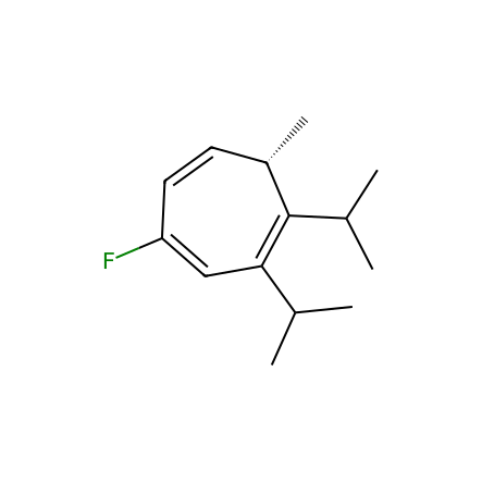 CC(C)C1=C(C(C)C)[C@@H](C)C=CC(F)=C1